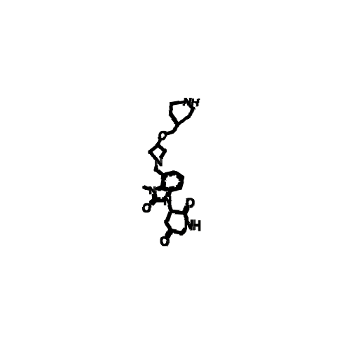 Cn1c(=O)n(C2CC(=O)CNC2=O)c2cccc(CN3CC(OCC4CCNCC4)C3)c21